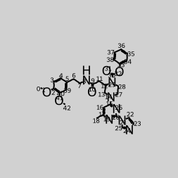 COc1ccc(CCNC(=O)CC2CN(c3cc(C)nc(-n4ccnc4)n3)CCN2C(=O)Oc2ccccc2)cc1OC